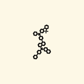 CC1(C)c2ccccc2-c2ccc(N(c3ccccc3)c3ccc(-c4cccc5c(N(c6ccc(-c7ccccc7)cc6)c6ccc7ccccc7c6)cccc45)cc3)cc21